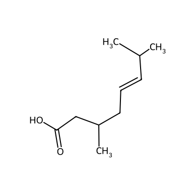 CC(C)C=CCC(C)CC(=O)O